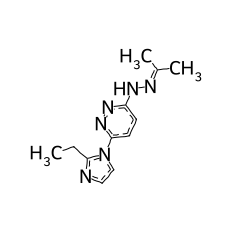 CCc1nccn1-c1ccc(NN=C(C)C)nn1